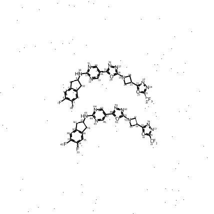 Fc1cc2c(cc1F)CC(Nc1ncc(-c3nnc(N4CC(c5nnc(C(F)(F)F)o5)C4)o3)cn1)C2.Fc1cc2c(cc1F)CC(Nc1ncc(-c3nnc(N4CC(c5nnc(C(F)(F)F)o5)C4)o3)cn1)C2